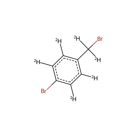 [2H]c1c([2H])c(C([2H])([2H])Br)c([2H])c([2H])c1Br